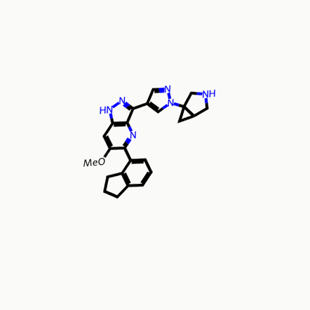 COc1cc2[nH]nc(-c3cnn(C45CNCC4C5)c3)c2nc1-c1cccc2c1CCC2